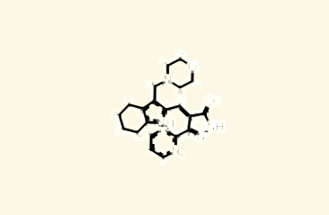 O=C1NN=C(c2ncccn2)/C1=C\c1[nH]c2c(c1CN1CCOCC1)CCCC2